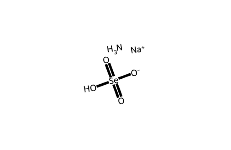 N.O=[Se](=O)([O-])O.[Na+]